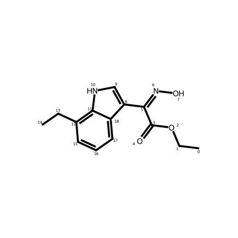 CCOC(=O)/C(=N\O)c1c[nH]c2c(CC)cccc12